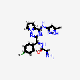 Cc1cc(Nc2nc(C(NC(=O)CN)c3ccc(F)cc3)nn3cccc23)n[nH]1